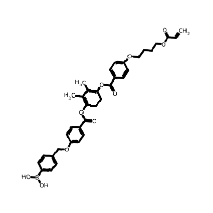 C=CC(=O)OCCCCOc1ccc(C(=O)OC2=C(C)C(C)=C(OC(=O)c3ccc(OCc4ccc(B(O)O)cc4)cc3)CC2)cc1